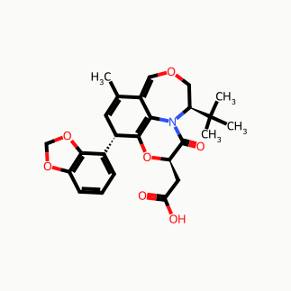 CC1=C[C@@H](c2cccc3c2OCO3)C2=C3C1=COC[C@@H](C(C)(C)C)N3C(=O)[C@@H](CC(=O)O)O2